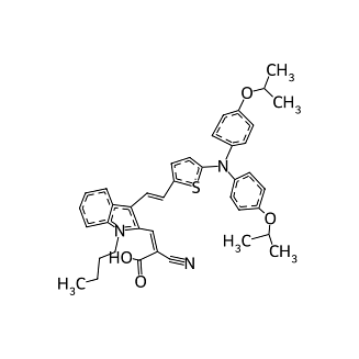 CCCCn1c(/C=C(/C#N)C(=O)O)c(/C=C/c2ccc(N(c3ccc(OC(C)C)cc3)c3ccc(OC(C)C)cc3)s2)c2ccccc21